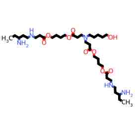 CCC(N)CCNCCC(=O)OCCCCOC(=O)CCN(CCCCCO)CCC(=O)OCCCCOC(=O)CCNCCC(N)CC